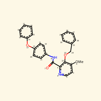 COc1ccnc(C(=O)Nc2ccc(Oc3ccccc3)cc2)c1OCc1ccccc1